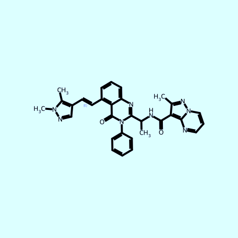 Cc1nn2cccnc2c1C(=O)NC(C)c1nc2cccc(/C=C/c3cnn(C)c3C)c2c(=O)n1-c1ccccc1